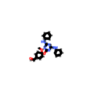 COC1(Oc2nc(Nc3ccccc3)nc(Nc3ccccc3)n2)C=CC(C=O)=CC1